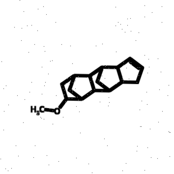 COC1CC2CC1C1C3CC(C4C=CCC43)C21